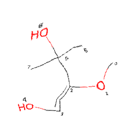 COC(=CO)C(C)(C)O